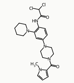 Cn1cccc1C(=O)N1CCN(c2ccc(NC(=O)C(Cl)Cl)c(N3CCCCC3)c2)CC1